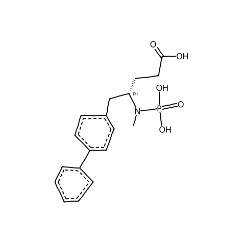 CN([C@@H](CCC(=O)O)Cc1ccc(-c2ccccc2)cc1)P(=O)(O)O